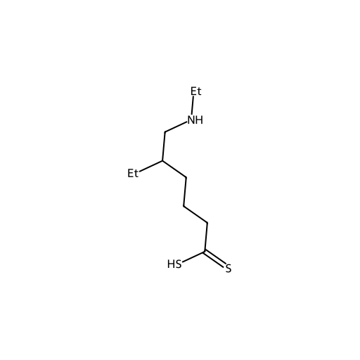 CCNCC(CC)CCCC(=S)S